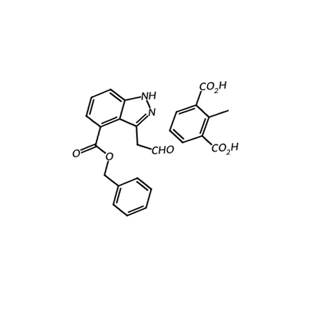 Cc1c(C(=O)O)cccc1C(=O)O.O=CCc1n[nH]c2cccc(C(=O)OCc3ccccc3)c12